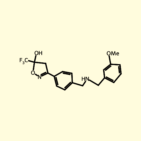 COc1cccc(CNCc2ccc(C3=NOC(O)(C(F)(F)F)C3)cc2)c1